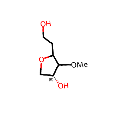 COC1C(CCO)OC[C@H]1O